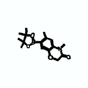 Cc1cc2c(cc1B1OC(C)(C)C(C)(C)O1)OCC(=O)N2C